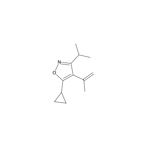 C=C(C)c1c(C(C)C)noc1C1CC1